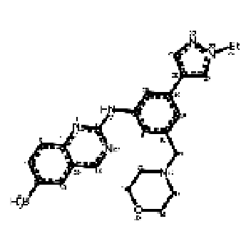 Bc1ccc2nc(Nc3cc(CN4CCOCC4)cc(-c4cnn(CC)c4)c3)ncc2c1